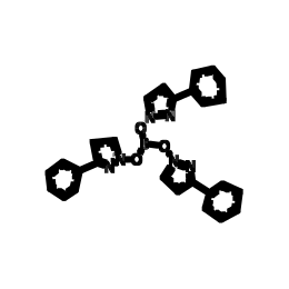 c1ccc(-c2ccn(OB(On3ccc(-c4ccccc4)n3)On3ccc(-c4ccccc4)n3)n2)cc1